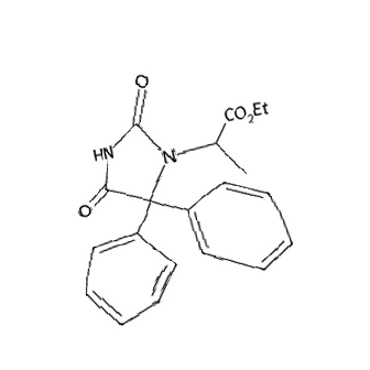 CCOC(=O)C(C)N1C(=O)NC(=O)C1(c1ccccc1)c1ccccc1